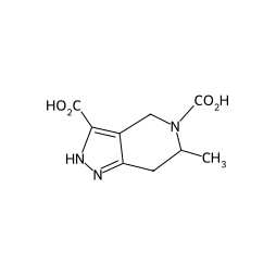 CC1Cc2n[nH]c(C(=O)O)c2CN1C(=O)O